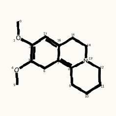 COC1=C(OC)CC2=C3CCCCN3CCC2=C1